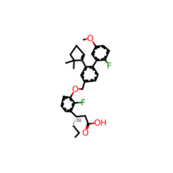 CCC[C@@H](CC(=O)O)c1cccc(OCc2ccc(-c3cc(OC)ccc3F)c(C3=CCCC3(C)C)c2)c1F